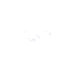 N.N.[Ag+].[OH-]